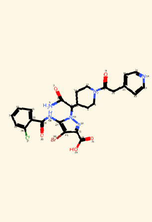 NC(=O)C(C1CCN(C(=O)Cc2ccncc2)CC1)n1nc(C(=O)O)c(Br)c1NC(=O)c1ccccc1Cl